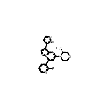 C[C@@H]1COCCN1c1cc(-c2cccnc2F)n2ncc(-c3ccn[nH]3)c2n1